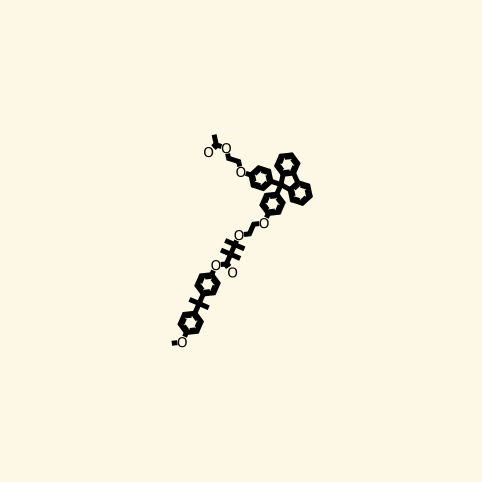 COc1ccc(C(C)(C)c2ccc(OC(=O)C(C)(C)C(C)(C)OCCOc3ccc(C4(c5ccc(OCCOC(C)=O)cc5)c5ccccc5-c5ccccc54)cc3)cc2)cc1